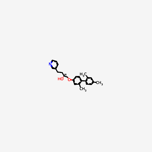 Cc1ccc(-c2ccc(OC[C@H](O)CCc3cccnc3)cc2C)c(C)c1